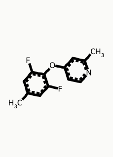 Cc1cc(F)c(Oc2ccnc(C)c2)c(F)c1